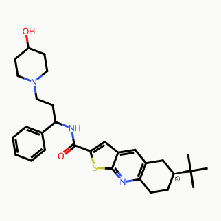 CC(C)(C)[C@H]1CCc2nc3sc(C(=O)NC(CCN4CCC(O)CC4)c4ccccc4)cc3cc2C1